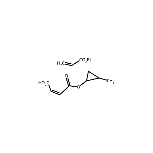 C=CC(=O)OCC.CC1CC1OC(=O)/C=C\C(=O)O